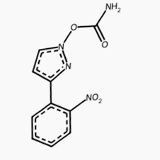 NC(=O)On1ccc(-c2ccccc2[N+](=O)[O-])n1